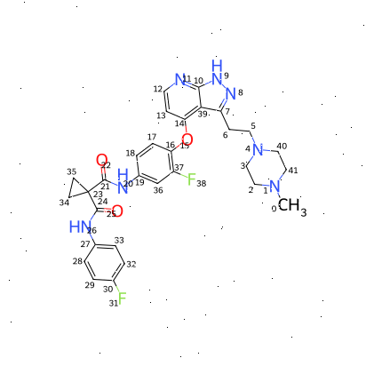 CN1CCN(CCc2n[nH]c3nccc(Oc4ccc(NC(=O)C5(C(=O)Nc6ccc(F)cc6)CC5)cc4F)c23)CC1